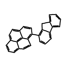 c1ccc2c(c1)Cc1c-2cccc1-c1ccc2ccc3cccc4ccc1c2c34